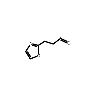 O=[C]CCc1ncco1